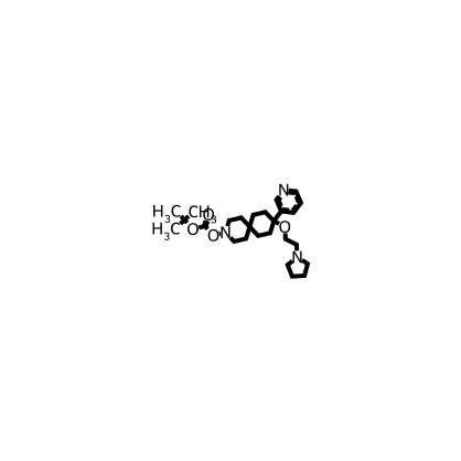 CC(C)(C)OC(=O)ON1CCC2(CC1)CCC(OCCN1CCCC1)(c1cccnc1)CC2